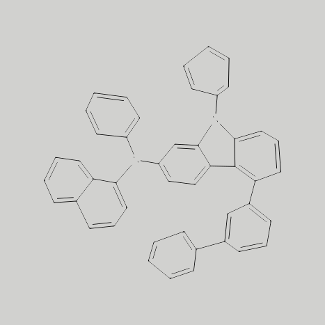 c1ccc(-c2cccc(-c3cccc4c3c3ccc(N(c5ccccc5)c5cccc6ccccc56)cc3n4-c3ccccc3)c2)cc1